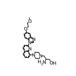 COCCOc1ccc2c(c1)ncn2-c1ccc2cccc(N3CCN(CC(N)CO)CC3)c2n1